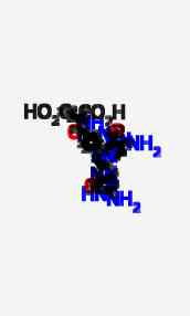 NNc1ccncc1C(N)=O.Nc1nc2ncc(CNc3ccc(C(=O)NC(CCC(=O)O)C(=O)O)cc3)nc2c(=O)[nH]1